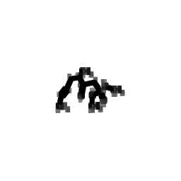 CC#CC[C@@H](C)C(=O)CP(=O)(OC)OC